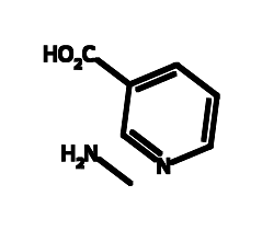 CN.O=C(O)c1cccnc1